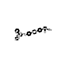 CCC(C)n1ncn(-c2ccc(N3CCN(c4ccc(OC[C@@H]5CO[C@@](Cn6cncn6)(c6ccccn6)O5)cc4)CC3)cc2)c1=O